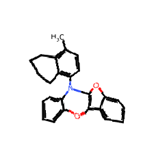 Cc1ccc(N2c3ccccc3Oc3c2oc2ccccc32)c2c1CCCC2